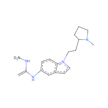 C=C(Nc1ccc2c(ccn2CCC2CCCN2C)c1)N[N+](=O)[O-]